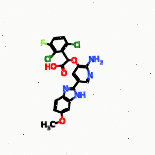 COc1ccc2nc(-c3cnc(N)c(OC(C(=O)O)c4c(Cl)ccc(F)c4Cl)c3)[nH]c2c1